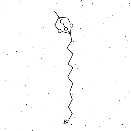 CC12COC(CCCCCCCCCCCBr)(OC1)OC2